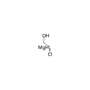 OCCCl.[MgH2]